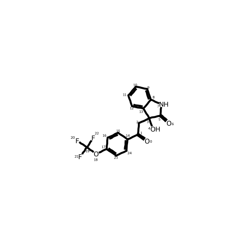 O=C(CC1(O)C(=O)Nc2ccccc21)c1ccc(OC(F)(F)F)cc1